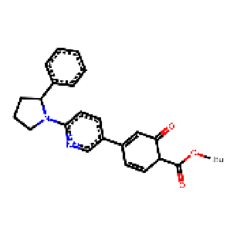 CC(C)(C)OC(=O)C1C=CC(c2ccc(N3CCCC3c3ccccc3)nc2)=CC1=O